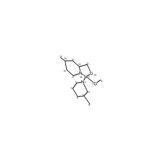 CO[Si]1(N2CCCC(C)C2)OCC2CC(C)CCN21